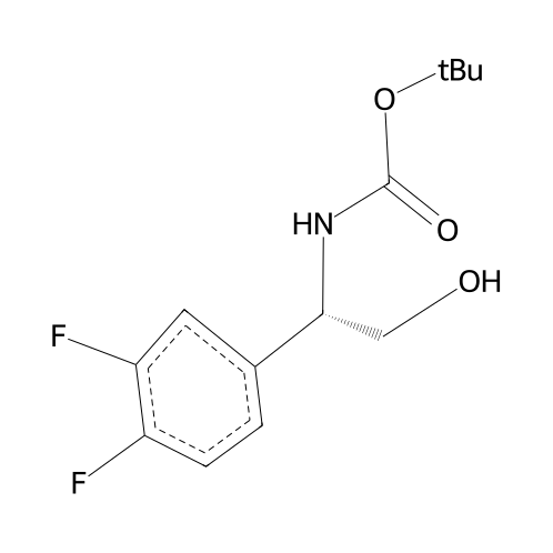 CC(C)(C)OC(=O)N[C@H](CO)c1ccc(F)c(F)c1